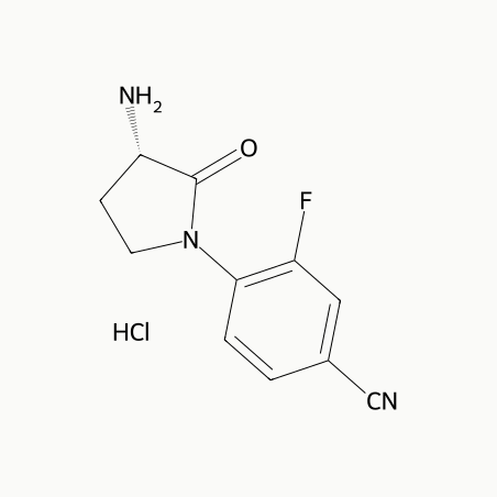 Cl.N#Cc1ccc(N2CC[C@H](N)C2=O)c(F)c1